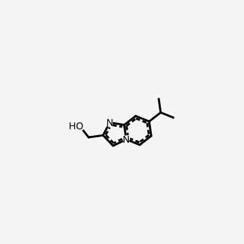 CC(C)c1ccn2cc(CO)nc2c1